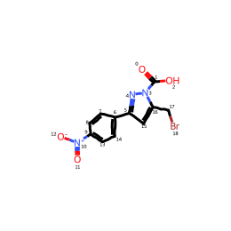 O=C(O)n1nc(-c2ccc([N+](=O)[O-])cc2)cc1CBr